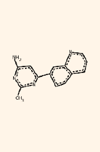 Cc1nc(N)cc(-c2ccc3cccnc3c2)n1